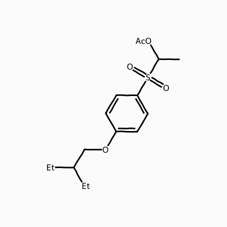 CCC(CC)COc1ccc(S(=O)(=O)C(C)OC(C)=O)cc1